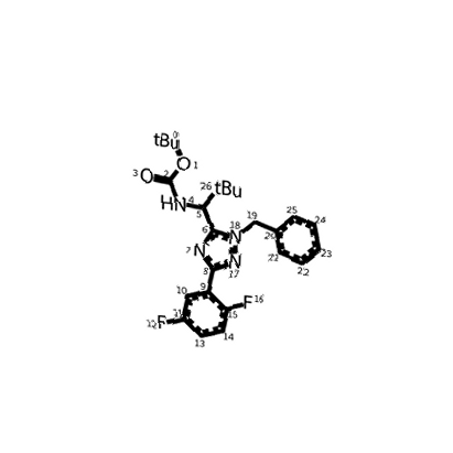 CC(C)(C)OC(=O)NC(c1nc(-c2cc(F)ccc2F)nn1Cc1ccccc1)C(C)(C)C